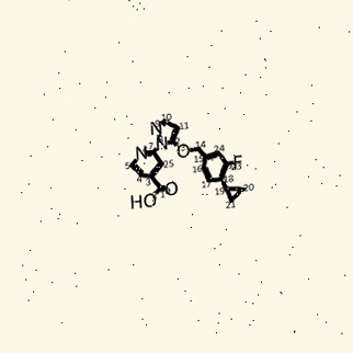 O=C(O)c1ccnc(-n2nccc2OCc2ccc(C3CC3)c(F)c2)c1